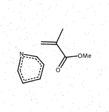 C=C(C)C(=O)OC.c1ccncc1